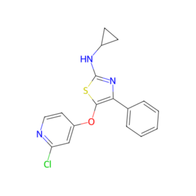 Clc1cc(Oc2sc(NC3CC3)nc2-c2ccccc2)ccn1